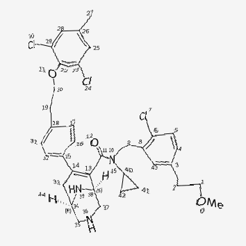 COCCc1ccc(Cl)c(CN(C(=O)C2=C(c3ccc(CCOc4c(Cl)cc(C)cc4Cl)cc3)C[C@@H]3CNC[C@H]2N3)C2CC2)c1